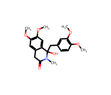 COc1ccc(CC2(O)c3cc(OC)c(OC)cc3CC(=O)N2C)cc1OC